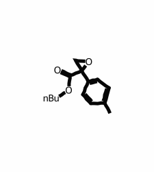 CCCCOC(=O)C1(c2ccc(C)cc2)CO1